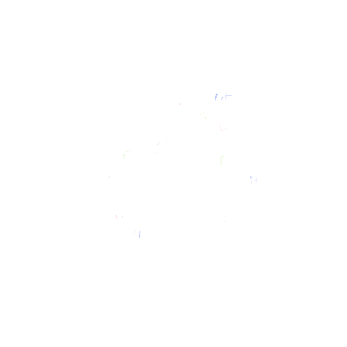 N#Cc1cccc(-c2noc(C(F)(F)F)c2-c2cc(F)c(S(N)(=O)=O)cc2F)c1